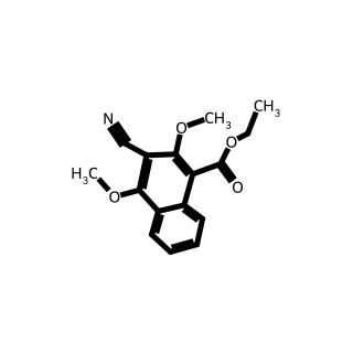 CCOC(=O)c1c(OC)c(C#N)c(OC)c2ccccc12